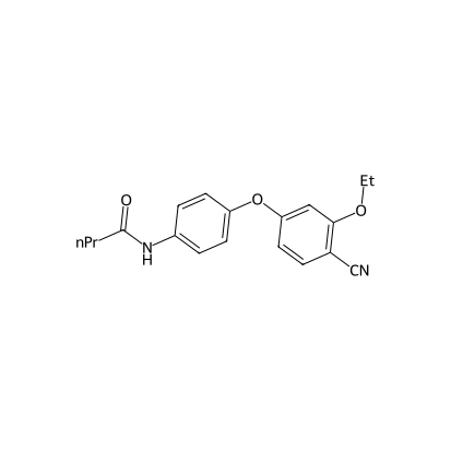 CCCC(=O)Nc1ccc(Oc2ccc(C#N)c(OCC)c2)cc1